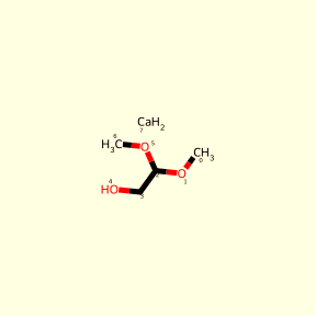 COC(CO)OC.[CaH2]